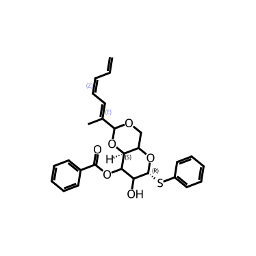 C=C/C=C\C=C(/C)C1OCC2O[C@H](Sc3ccccc3)C(O)C(OC(=O)c3ccccc3)[C@H]2O1